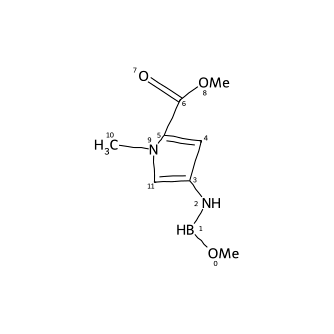 COBNc1cc(C(=O)OC)n(C)c1